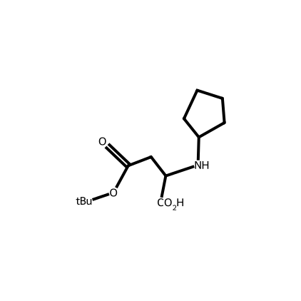 CC(C)(C)OC(=O)CC(NC1CCCC1)C(=O)O